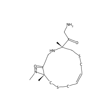 CN[C@@]1(C)CSC/C=C\CSC[C@@](C)(C(=O)CN)NCC1=O